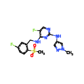 Cn1cc(Nc2ncc(F)c(NCc3cc(F)ccc3S(C)(=O)=O)n2)cn1